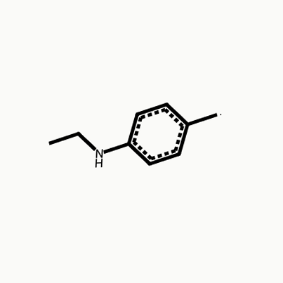 [CH2]c1ccc(NCC)cc1